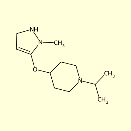 CC(C)N1CCC(OC2=CCNN2C)CC1